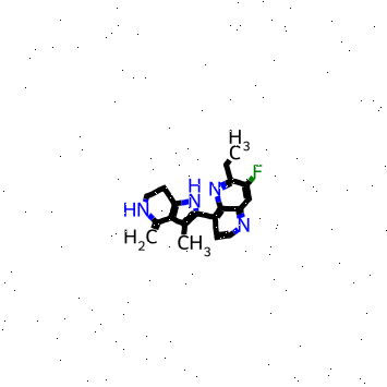 C=C1NCCc2[nH]c(-c3ccnc4cc(F)c(CC)nc34)c(C)c21